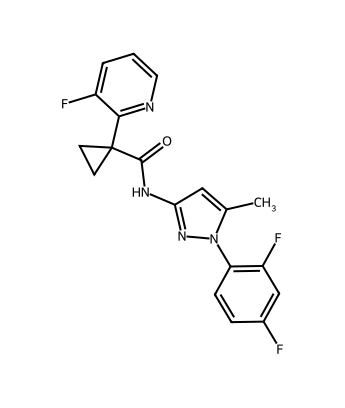 Cc1cc(NC(=O)C2(c3ncccc3F)CC2)nn1-c1ccc(F)cc1F